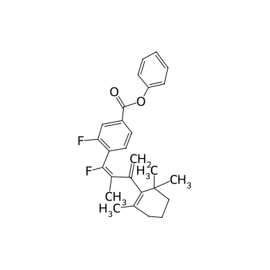 C=C(C(C)=C(F)c1ccc(C(=O)Oc2ccccc2)cc1F)C1=C(C)CCCC1(C)C